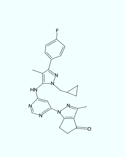 Cc1nn(-c2cc(Nc3c(C)c(-c4ccc(F)cc4)nn3CC3CC3)ncn2)c2c1C(=O)CC2